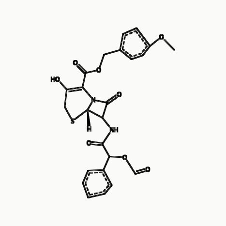 COc1ccc(COC(=O)C2=C(O)CS[C@H]3C(NC(=O)C(OC=O)c4ccccc4)C(=O)N23)cc1